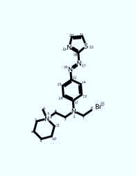 CCN(CC[N+]1(C)CCCCC1)c1ccc(N=Nc2nccs2)cc1.[Br-]